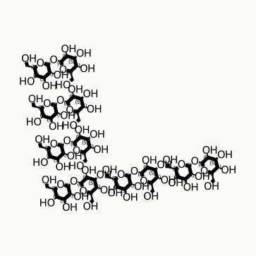 OC[C@H]1O[C@H](O[C@H]2O[C@H](CO)[C@@H](O)[C@H](O)[C@H]2O)[C@H](O)[C@@H](O)[C@@H]1O.OC[C@H]1O[C@H](O[C@H]2O[C@H](CO)[C@@H](O)[C@H](O)[C@H]2O)[C@H](O)[C@@H](O)[C@@H]1O.OC[C@H]1O[C@H](O[C@H]2O[C@H](CO)[C@@H](O)[C@H](O)[C@H]2O)[C@H](O)[C@@H](O)[C@@H]1O.OC[C@H]1O[C@H](O[C@H]2O[C@H](CO)[C@@H](O)[C@H](O)[C@H]2O)[C@H](O)[C@@H](O)[C@@H]1O.OC[C@H]1O[C@H](O[C@H]2O[C@H](CO)[C@@H](O)[C@H](O)[C@H]2O)[C@H](O)[C@@H](O)[C@@H]1O.OC[C@H]1O[C@H](O[C@H]2O[C@H](CO)[C@@H](O)[C@H](O)[C@H]2O)[C@H](O)[C@@H](O)[C@@H]1O